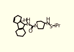 CC(C)SNC1CCN(C(=O)NC2C3=C(CCCC3)C3C=CCC[C@H]32)CC1